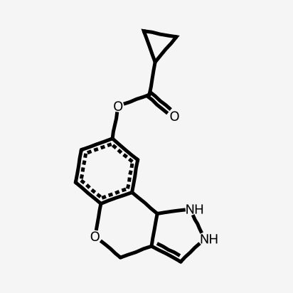 O=C(Oc1ccc2c(c1)C1NNC=C1CO2)C1CC1